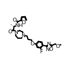 COCc1nc(-c2ccc(OCCCN3CCCN(C(=O)[C@H](C)NC(=O)c4ccco4)CC3)cc2F)no1